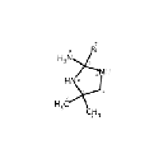 CC1(C)CNC(N)(Br)N1